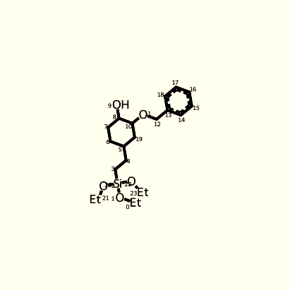 CCO[Si](CCC1CCC(O)C(OCc2ccccc2)C1)(OCC)OCC